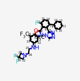 Cn1cnnc1-c1c(-c2ccccc2)ccc(F)c1-c1nc2cc(NCCN3CC(F)(F)C3)cc(C(F)(F)F)c2o1